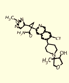 Cn1ncc(C2CC2(C(N)=O)c2cc3cc(C4CCN(C5(C)COCC5O)CC4)c(Cl)cc3cn2)n1